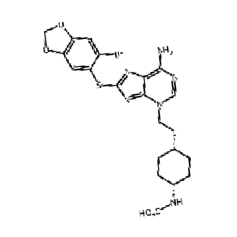 Nc1ncn(CC[C@H]2CC[C@@H](NC(=O)O)CC2)c2nc(Sc3cc4c(cc3Br)OCO4)nc1-2